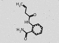 C=CCC(=O)Nc1ccccc1C(N)=O